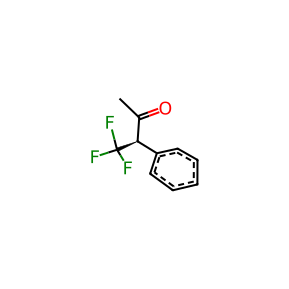 CC(=O)[C@@H](c1ccccc1)C(F)(F)F